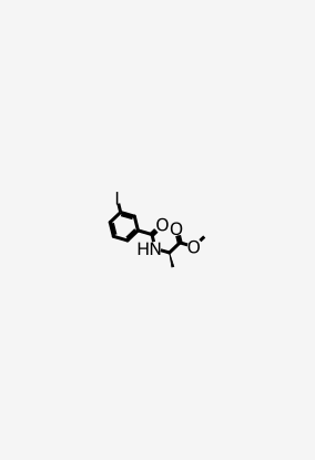 COC(=O)[C@@H](C)NC(=O)c1cccc(I)c1